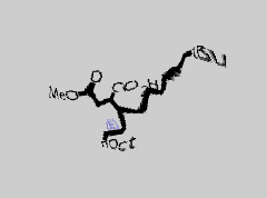 CCCCCCCC/C=C/C(CCCCCCC(C)(C)C)C(CC(=O)OC)C(=O)O